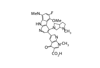 CNc1cc(F)c(OC)c2c1[nH]c1ncc(-c3cnc4c(c3)c(=O)c(C(=O)O)cn4C)c(N3CC4CCN(C)C4C3)c12